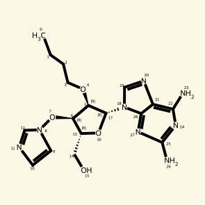 CCCCO[C@@H]1[C@H](On2ccnc2)[C@@H](CO)O[C@H]1n1cnc2c(N)nc(N)nc21